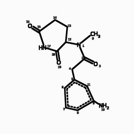 CN(C(=O)Cc1cccc(N)c1)C1CCC(=O)NC1=O